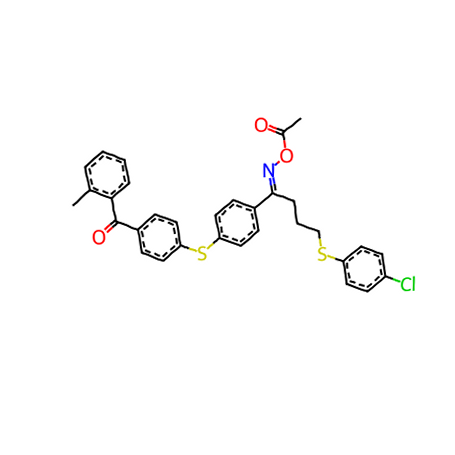 CC(=O)O/N=C(\CCCSc1ccc(Cl)cc1)c1ccc(Sc2ccc(C(=O)c3ccccc3C)cc2)cc1